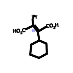 CC(C)/C(C(=O)O)=C(\C(=O)O)C1CCCCC1